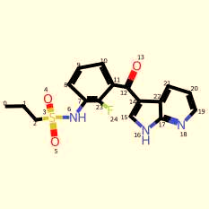 CCCS(=O)(=O)Nc1cccc(C(=O)c2c[nH]c3ncccc23)c1F